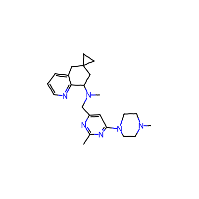 Cc1nc(CN(C)C2CC3(CC3)Cc3cccnc32)cc(N2CCN(C)CC2)n1